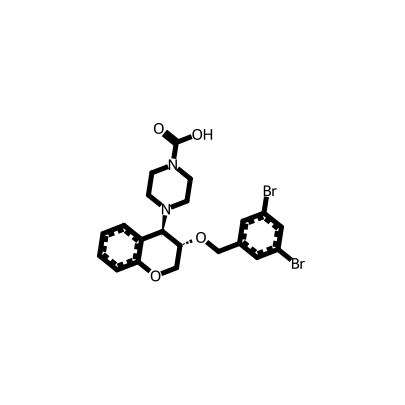 O=C(O)N1CCN([C@@H]2c3ccccc3OC[C@H]2OCc2cc(Br)cc(Br)c2)CC1